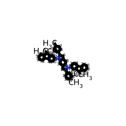 Cc1ccc(-c2cc3cc4c(cc(-c5ccc(C)cc5)n4-c4ccc5c(c4)C(C)(C)c4ccccc4-5)cc3n2-c2ccc3c(c2)C(C)(C)c2ccccc2-3)cc1